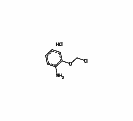 Cl.Nc1ccccc1OCCl